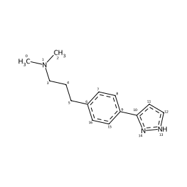 CN(C)CCCc1ccc(-c2cc[nH]n2)cc1